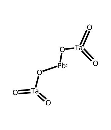 [O]=[Ta](=[O])[O][Pb][O][Ta](=[O])=[O]